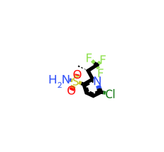 C[C@@H](c1nc(Cl)ccc1S(N)(=O)=O)C(F)(F)F